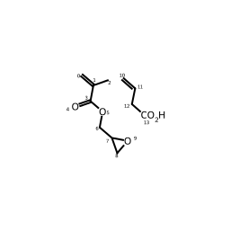 C=C(C)C(=O)OCC1CO1.C=CCC(=O)O